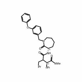 CCC[C@H](C(=O)NC)C(CC(C)C)C(=O)N[C@H]1CCCCN(Cc2cccc(Oc3ccccc3)c2)C1=O